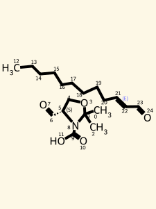 CC1(C)OC[C@@H](C=O)N1C(=O)O.CCCCCCCCC/C=C/C=O